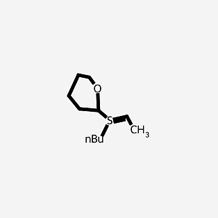 CC=S(CCCC)C1CCCCO1